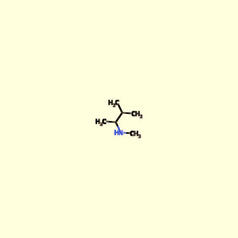 CNC(C)C(C)C